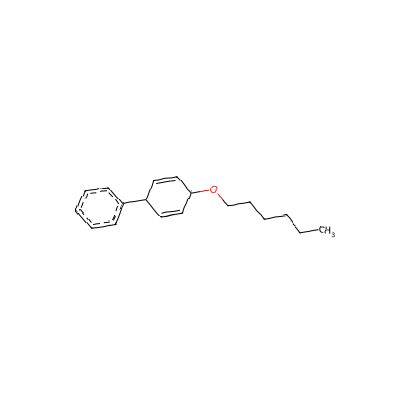 CCCCCCO[C]1C=CC(c2ccccc2)C=C1